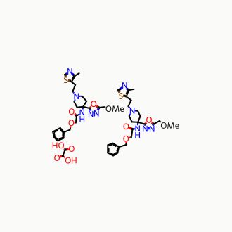 COCc1nnc(C2(NC(=O)COCc3ccccc3)CCN(CCc3scnc3C)CC2)o1.COCc1nnc(C2(NC(=O)COCc3ccccc3)CCN(CCc3scnc3C)CC2)o1.O=C(O)C(=O)O